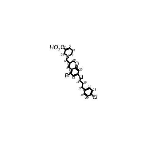 O=C(O)C1=CCCN(CC2=Cc3c(F)cc(OCCCc4ccc(Cl)cc4)cc3OC2)C1